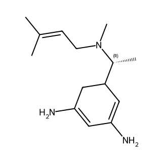 CC(C)=CCN(C)[C@H](C)C1C=C(N)C=C(N)C1